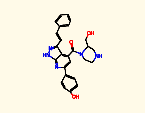 O=C(c1cc(-c2ccc(O)cc2)nc2[nH]nc(C=Cc3ccccc3)c12)N1CCNCC1CO